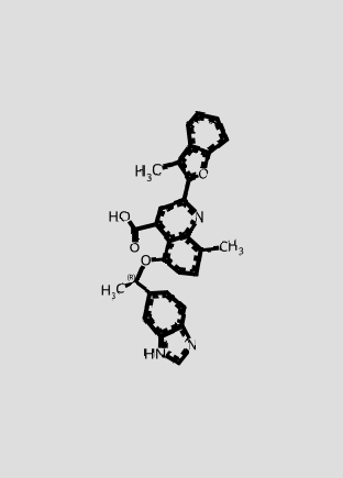 Cc1c(-c2cc(C(=O)O)c3c(O[C@H](C)c4ccc5nc[nH]c5c4)ccc(C)c3n2)oc2ccccc12